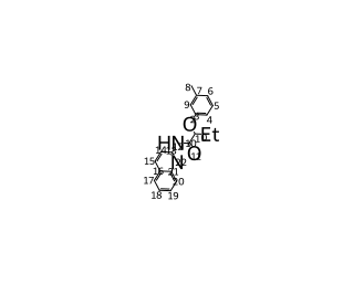 CCC(Oc1cccc(C)c1)C(=O)Nc1ccc2ccccc2n1